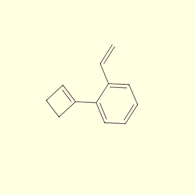 C=Cc1ccccc1C1=CCC1